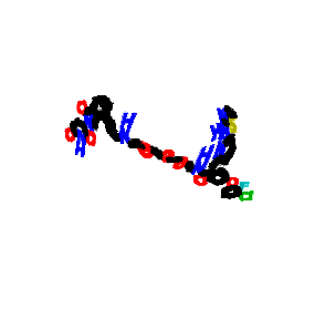 O=C1CCC(N2Cc3c(C#CCNCCOCCOCCOCCNC(=O)[C@]4(Cc5cccc(Nc6nccs6)n5)CC[C@@H](Oc5cccc(Cl)c5F)CC4)cccc3C2=O)C(=O)N1